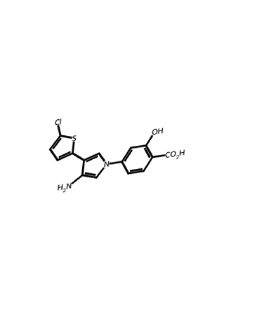 Nc1cn(-c2ccc(C(=O)O)c(O)c2)cc1-c1ccc(Cl)s1